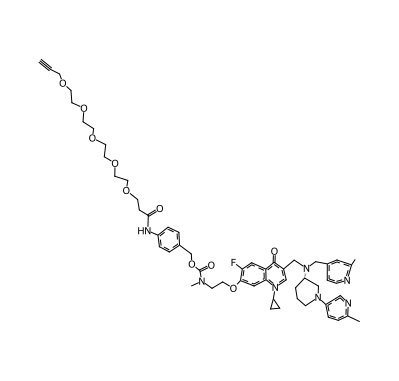 C#CCOCCOCCOCCOCCOCCC(=O)Nc1ccc(COC(=O)N(C)CCOc2cc3c(cc2F)c(=O)c(CN(Cc2ccnc(C)c2)[C@H]2CCCN(c4ccc(C)nc4)C2)cn3C2CC2)cc1